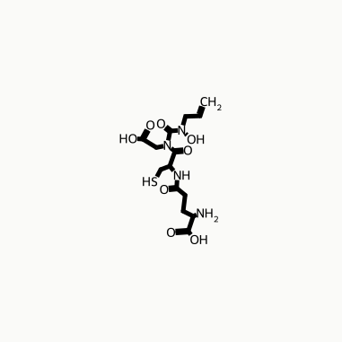 C=CCN(O)C(=O)N(CC(=O)O)C(=O)C(CS)NC(=O)CCC(N)C(=O)O